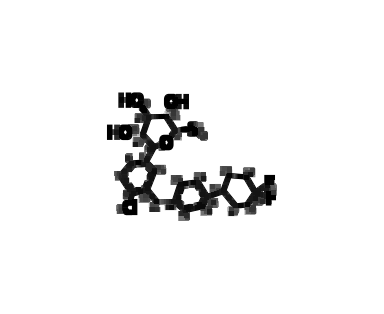 CS[C@H]1OC(c2ccc(Cl)c(Cc3ccc(C4CCC(F)(F)CC4)cc3)c2)[C@H](O)[C@@H](O)[C@@H]1O